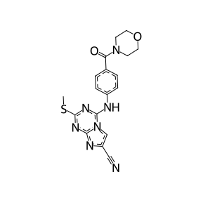 CSc1nc(Nc2ccc(C(=O)N3CCOCC3)cc2)n2cc(C#N)nc2n1